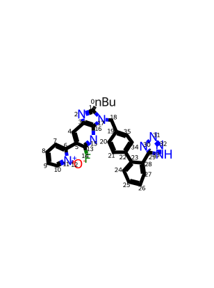 CCCCc1nc2cc(-c3cccc[n+]3[O-])c(F)nc2n1Cc1ccc(-c2ccccc2-c2nnn[nH]2)cc1